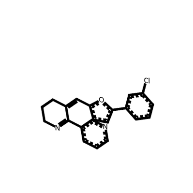 Clc1cccc(-c2ccc(/C=C3/CCCN=C3c3cccnc3)o2)c1